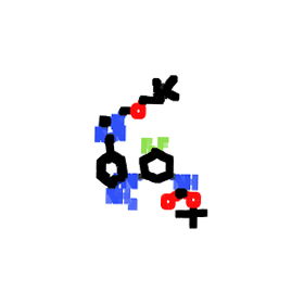 CC(C)(C)OC(=O)N[C@@H]1C[C@H](Nc2cc(-c3ncn(COCC[Si](C)(C)C)n3)ccc2N)CC(F)(F)C1